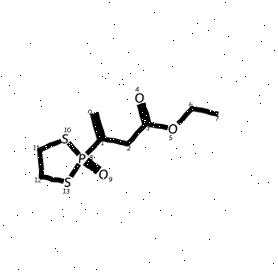 C=C(CC(=O)OCC)P1(=O)SCCS1